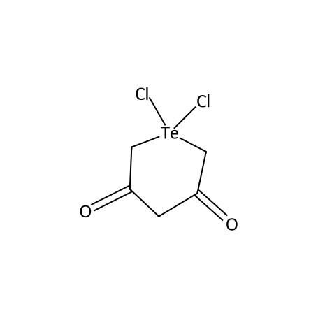 O=C1CC(=O)C[Te](Cl)(Cl)C1